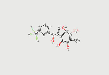 BC1=C(C)C(=O)C(=O)c2c(C(=O)c3cccc(C(F)(F)F)c3)coc21